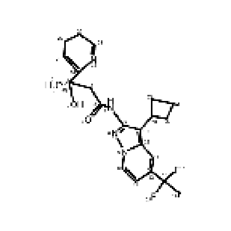 C[C@@](O)(CC(=O)Nc1nn2ccc(C(F)(F)F)cc2c1C1CCC1)C1=CCCC=N1